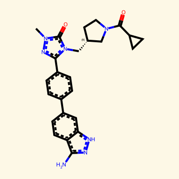 Cn1nc(-c2ccc(-c3ccc4c(N)n[nH]c4c3)cc2)n(C[C@@H]2CCN(C(=O)C3CC3)C2)c1=O